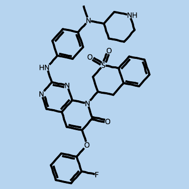 CN(c1ccc(Nc2ncc3cc(Oc4ccccc4F)c(=O)n(C4Cc5ccccc5S(=O)(=O)C4)c3n2)cc1)C1CCCNC1